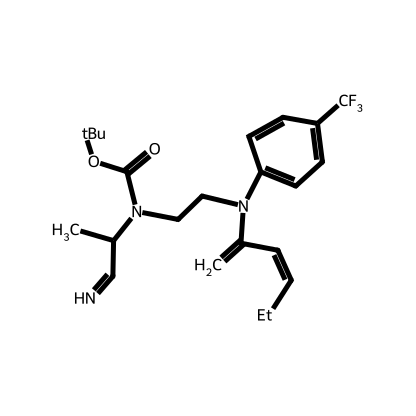 C=C(/C=C\CC)N(CCN(C(=O)OC(C)(C)C)C(C)C=N)c1ccc(C(F)(F)F)cc1